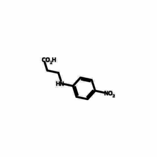 O=C(O)CCNc1ccc([N+](=O)[O-])cc1